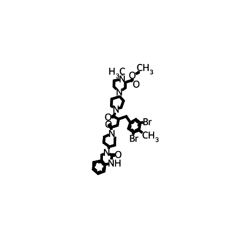 CCOC(=O)C1CN(C2CCN(C(=O)C(CC(=O)N3CCC(N4Cc5ccccc5NC4=O)CC3)Cc3cc(Br)c(C)c(Br)c3)CC2)CCN1C